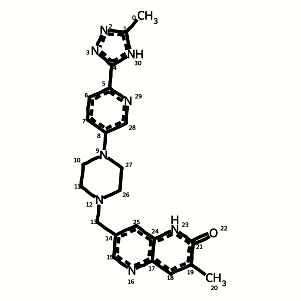 Cc1nnc(-c2ccc(N3CCN(Cc4cnc5cc(C)c(=O)[nH]c5c4)CC3)cn2)[nH]1